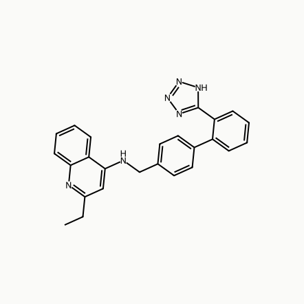 CCc1cc(NCc2ccc(-c3ccccc3-c3nnn[nH]3)cc2)c2ccccc2n1